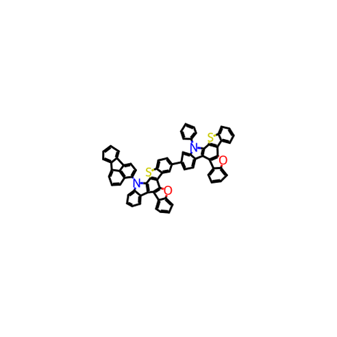 c1ccc(-n2c3cc(-c4ccc5sc6c(c5c4)c4oc5ccccc5c4c4c5ccccc5n(-c5ccc7c8c(cccc58)-c5ccccc5-7)c64)ccc3c3c4c5ccccc5oc4c4c5ccccc5sc4c32)cc1